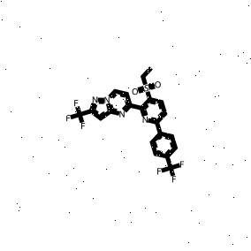 CCS(=O)(=O)c1ccc(-c2ccc(C(F)(F)F)cc2)nc1-c1ccn2nc(C(F)(F)F)cc2n1